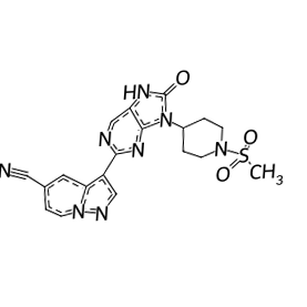 CS(=O)(=O)N1CCC(n2c(=O)[nH]c3cnc(-c4cnn5ccc(C#N)cc45)nc32)CC1